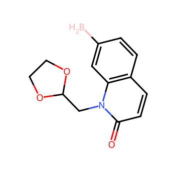 Bc1ccc2ccc(=O)n(CC3OCCO3)c2c1